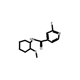 CSC1CCCCC1NC(=O)c1ccnc(F)c1